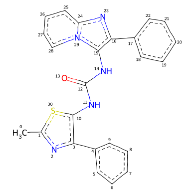 Cc1nc(-c2ccccc2)c(NC(=O)Nc2c(-c3ccccc3)nc3ccccn23)s1